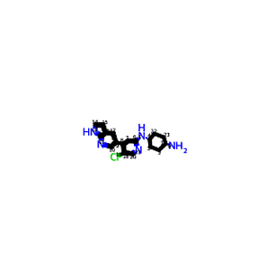 N[C@H]1CC[C@H](Nc2cc(-c3cnc4[nH]c[c]c4c3)c(Cl)cn2)CC1